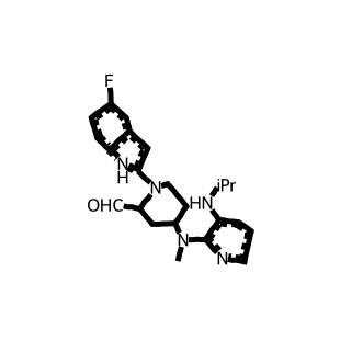 CC(C)Nc1cccnc1N(C)C1CCN(c2cc3cc(F)ccc3[nH]2)C(C=O)C1